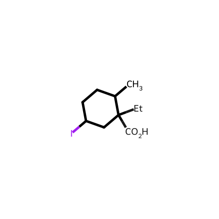 CCC1(C(=O)O)CC(I)CCC1C